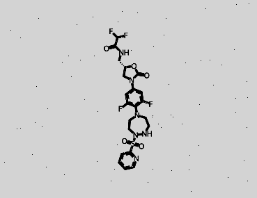 O=C(NC[C@H]1CN(c2cc(F)c(N3CCNN(S(=O)(=O)c4ccccn4)CC3)c(F)c2)C(=O)O1)C(F)F